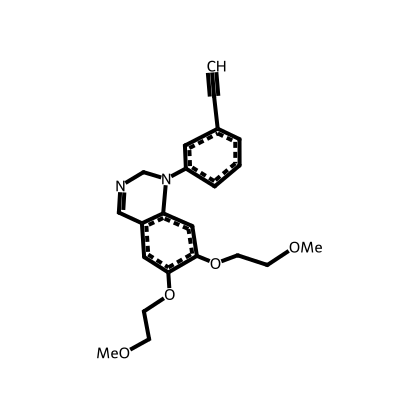 C#Cc1cccc(N2CN=Cc3cc(OCCOC)c(OCCOC)cc32)c1